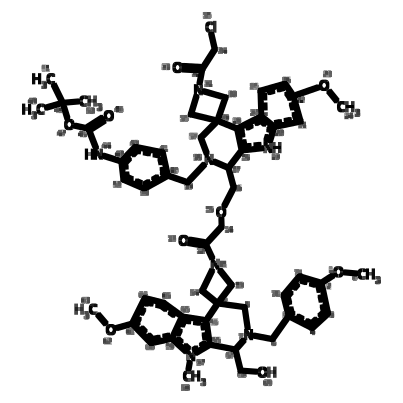 COc1ccc(CN2CC3(CN(C(=O)COCC4c5[nH]c6cc(OC)ccc6c5C5(CN(C(=O)CCl)C5)CN4Cc4ccc(NC(=O)OC(C)(C)C)cc4)C3)c3c(n(C)c4cc(OC)ccc34)C2CO)cc1